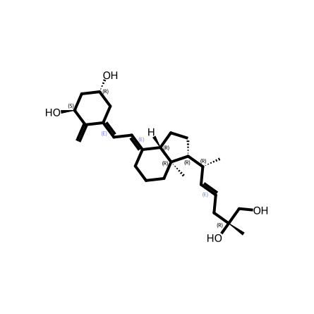 C=C1/C(=C/C=C2\CCC[C@]3(C)[C@@H]([C@H](C)/C=C/C[C@@](C)(O)CO)CC[C@@H]23)C[C@@H](O)C[C@@H]1O